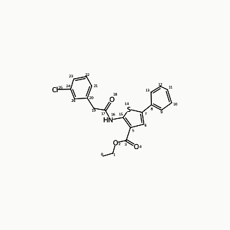 CCOC(=O)c1cc(-c2ccccc2)sc1NC(=O)Cc1cccc(Cl)c1